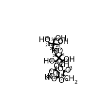 C=CC(=O)OC.O=C([O-])CC(=O)[O-].OCC(CO)(CO)COCC(CO)(CO)CO.[K+].[K+]